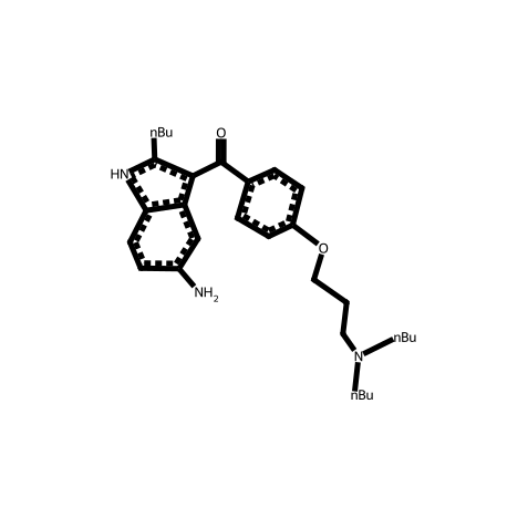 CCCCc1[nH]c2ccc(N)cc2c1C(=O)c1ccc(OCCCN(CCCC)CCCC)cc1